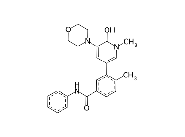 Cc1ccc(C(=O)Nc2ccccc2)cc1C1=CN(C)C(O)C(N2CCOCC2)=C1